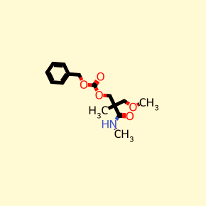 CNC(=O)C(C)(COC)COC(=O)OCc1ccccc1